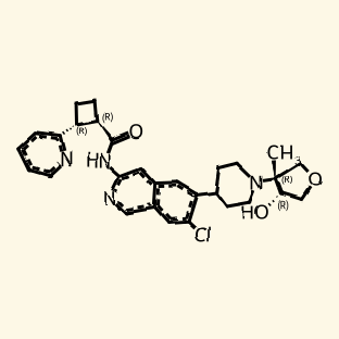 C[C@@]1(N2CCC(c3cc4cc(NC(=O)[C@@H]5CC[C@H]5c5ccccn5)ncc4cc3Cl)CC2)COC[C@@H]1O